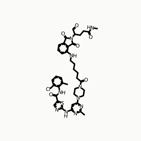 CNC(=O)CCC(C=O)N1C(=O)c2cccc(NCCCCCC(=O)N3CCN(c4cc(Nc5ncc(C(=O)Nc6c(C)cccc6Cl)s5)nc(C)n4)CC3)c2C1=O